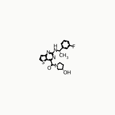 C[C@H](Nc1nc(C(=O)N2CC[C@H](O)C2)c2sccc2n1)c1cccc(F)c1